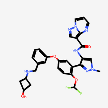 Cn1cc(NC(=O)c2cnn3cccnc23)c(-c2cc(Oc3cccc(CNC4CC(O)C4)c3)ccc2OC(F)F)n1